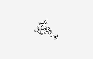 CCN(CC)c1ccc2cc(C(=O)Nc3cc(N4C(=O)C=C(C)C4=O)cc(N4C(=O)C=C(Br)C4=O)c3)c(=O)oc2c1